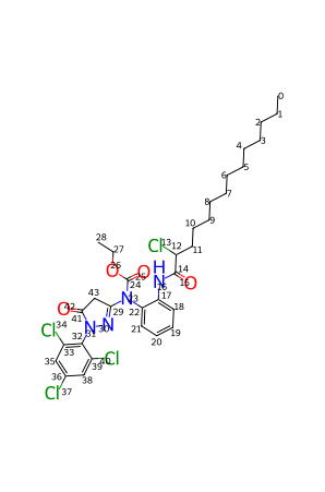 CCCCCCCCCCCCC(Cl)C(=O)Nc1ccccc1N(C(=O)OCC)C1=NN(c2c(Cl)cc(Cl)cc2Cl)C(=O)C1